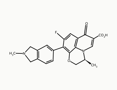 C[C@H]1COc2c(-c3ccc4c(c3)CN(C)C4)c(F)cc3c(=O)c(C(=O)O)cn1c23